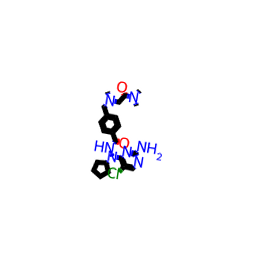 CN(CC(=O)N(C)C)Cc1ccc(C(=O)NN(c2nc(N)ncc2Cl)C2CCCC2)cc1